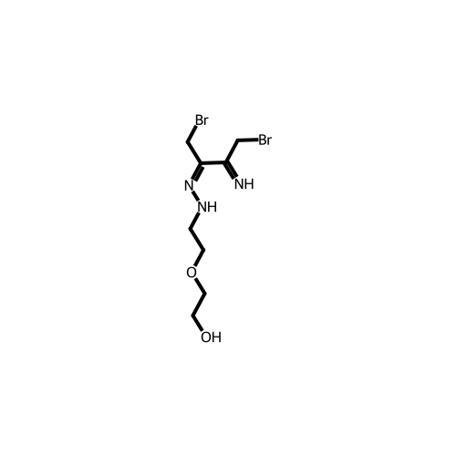 N=C(CBr)/C(CBr)=N\NCCOCCO